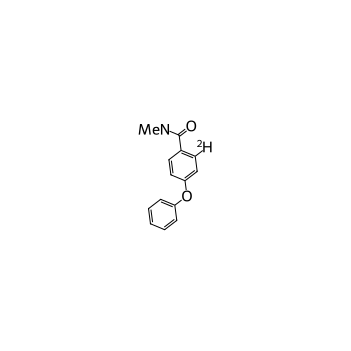 [2H]c1cc(Oc2ccccc2)ccc1C(=O)NC